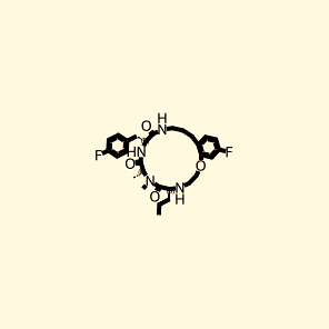 CCC[C@@H]1NCCOc2cc(F)ccc2CCCNC(=O)[C@@H](Cc2ccc(F)cc2)NC(=O)[C@@H](C)N(C)C1=O